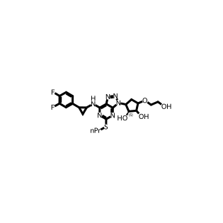 CCCSc1nc(NC2CC2c2ccc(F)c(F)c2)c2nnn(C3CC(OCCO)C(O)[C@H]3O)c2n1